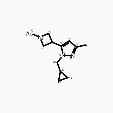 CC(=O)N1CC(c2cc(C)nn2CC2CC2)C1